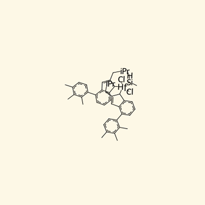 Cc1ccc(-c2cccc3c2C=C(CC(C)C)[CH]3[Hf]([Cl])([Cl])([CH]2C(CC(C)C)=Cc3c(-c4ccc(C)c(C)c4C)cccc32)[SiH](C)C)c(C)c1C